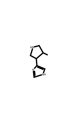 CC1CNCC1c1c[nH]cn1